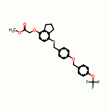 COC(=O)COc1ccc(SCc2ccc(OCc3ccc(OC(F)(F)F)cc3)cc2)c2c1CCC2